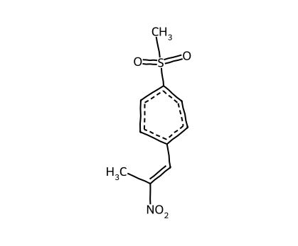 C/C(=C\c1ccc(S(C)(=O)=O)cc1)[N+](=O)[O-]